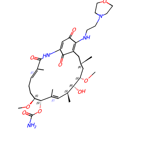 CO[C@H]1C[C@H](C)CC2=C(NCCN3CCOCC3)C(=O)C=C(NC(=O)/C(C)=C/CC[C@H](OC)[C@@H](OC(N)=O)/C(C)=C/[C@H](C)[C@H]1O)C2=O